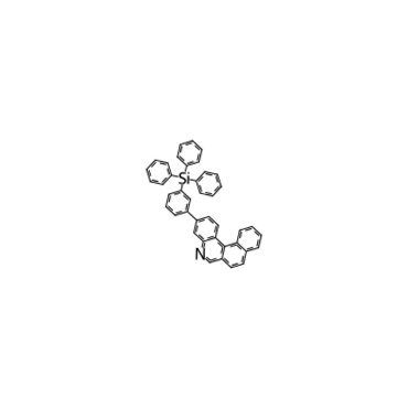 c1ccc([Si](c2ccccc2)(c2ccccc2)c2cccc(-c3ccc4c(c3)ncc3ccc5ccccc5c34)c2)cc1